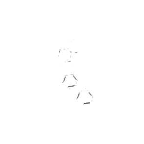 CC(=O)O[C@@H]1[C@@H](OC(C)=O)[C@@H](Oc2cccc(-c3ccccn3)c2)SC[C@H]1OC(C)=O